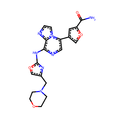 NC(=O)c1cc(-c2cnc(Nc3nc(CN4CCOCC4)co3)c3nccn23)co1